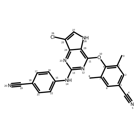 Cc1cc(C#N)cc(C)c1Oc1nc(Nc2ccc(C#N)cc2)nc2c(Cl)c[nH]c12